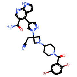 N#CCC1(n2cc(-c3c(C(N)=O)cnc4[nH]ccc34)cn2)CN(C2CCN(C(=O)c3cc(Br)ccc3Br)CC2)C1